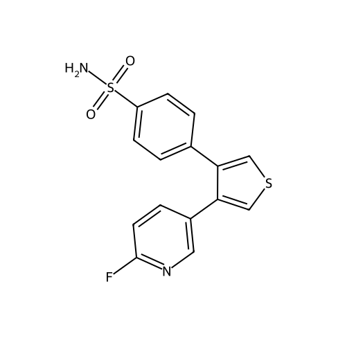 NS(=O)(=O)c1ccc(-c2cscc2-c2ccc(F)nc2)cc1